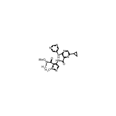 CON(C)C(=O)c1c(NC(=O)c2nc(C3CC3)cnc2Nc2cncnc2)cnn1C